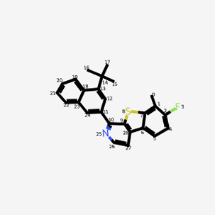 Cc1c(F)ccc2c1sc1c(-c3cc(C(C)(C)C)c4ccccc4c3)nccc12